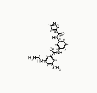 Cc1cc(NCN)cc(C(=O)Nc2cccc(NC(=O)c3ccno3)c2)c1